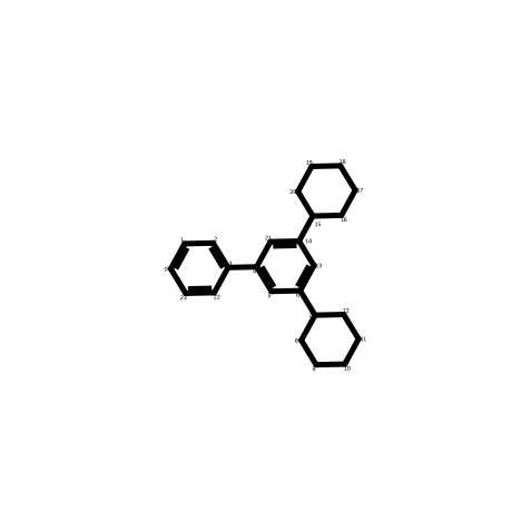 c1ccc(-c2cc(C3CCCCC3)cc(C3CCCCC3)c2)cc1